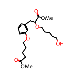 COC(=O)CCCCOc1cccc(CC(OCCCCCO)C(=O)OC)c1